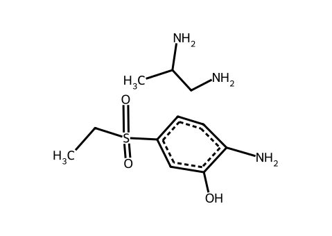 CC(N)CN.CCS(=O)(=O)c1ccc(N)c(O)c1